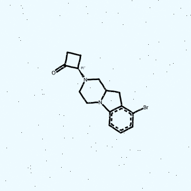 O=C1CC[C@H]1N1CCN2c3cccc(Br)c3CC2C1